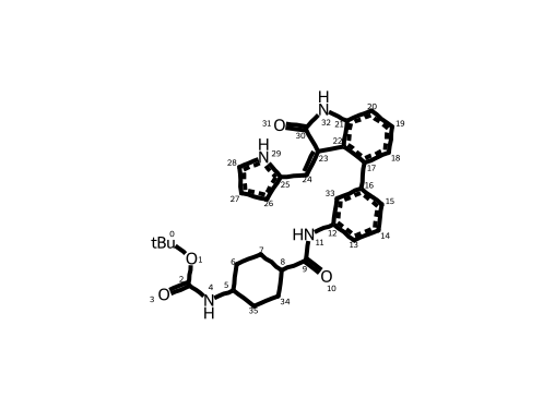 CC(C)(C)OC(=O)NC1CCC(C(=O)Nc2cccc(-c3cccc4c3C(=Cc3ccc[nH]3)C(=O)N4)c2)CC1